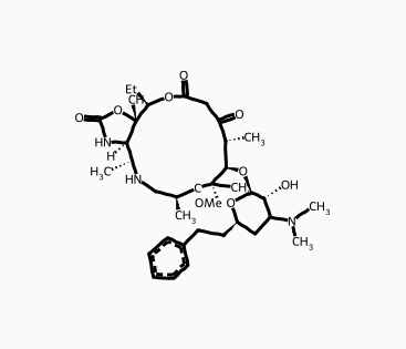 CC[C@H]1OC(=O)CC(=O)[C@H](C)[C@@H](O[C@@H]2O[C@H](CCc3ccccc3)CC(N(C)C)[C@H]2O)[C@](C)(OC)C[C@@H](C)CN[C@H](C)[C@H]2NC(=O)O[C@@]21C